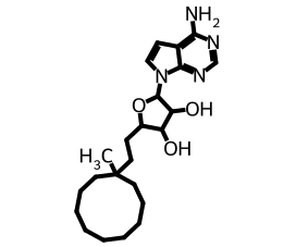 CC1(CCC2OC(n3ccc4c(N)ncnc43)C(O)C2O)CCCCCCCCC1